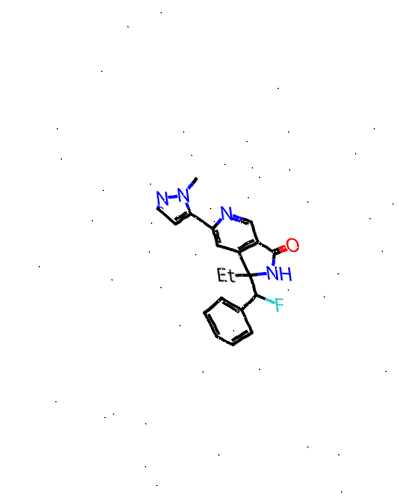 CCC1(C(F)c2ccccc2)NC(=O)c2cnc(-c3ccnn3C)cc21